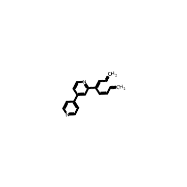 C=C/C=C\C(=C/C=C)c1cc(-c2ccncc2)ccn1